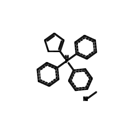 C1=CCC([PH](c2ccccc2)(c2ccccc2)c2ccccc2)=C1.[CH3][Ni]